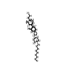 CCCCCCCCC[C@H]1CC[C@H](COc2ccc(-c3cnc(CCC)nc3)c(C)c2)CC1